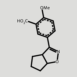 COc1ccc(C2=NOC3CCCC23)cc1C(=O)O